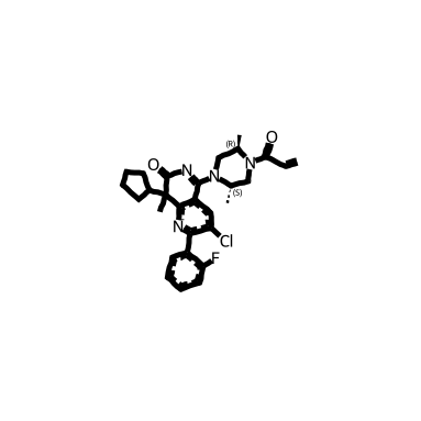 C=CC(=O)N1C[C@H](C)N(C2=NC(=O)C(C)(C3CCCC3)c3nc(-c4ccccc4F)c(Cl)cc32)C[C@H]1C